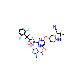 C[C@H](Oc1cc(O[C@H]2CCN[C@@H](C(C#N)C(C)(C)C)C2)nc(-c2noc(C(C)(C)c3c(F)cccc3F)n2)n1)[C@@H]1C[C@@H](F)CN1C